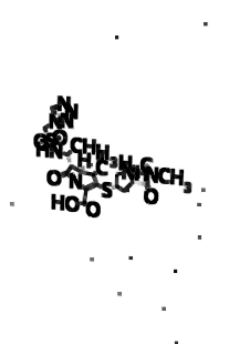 CC(NS(=O)(=O)Cn1cnnn1)[C@H]1C(=O)N2C(C(=O)O)=C(S[C@@H]3CN[C@H](C(=O)N(C)C)C3)[C@H](C)[C@H]12